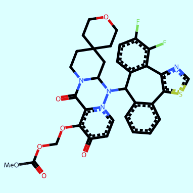 COC(=O)OCOc1c2n(ccc1=O)N(C1c3ccccc3-c3scnc3-c3c1ccc(F)c3F)C1CC3(CCOCC3)CCN1C2=O